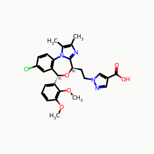 COc1cccc([C@H]2O[C@H](CCn3cc(C(=O)O)cn3)c3nc(C)c(C)n3-c3ccc(Cl)cc32)c1OC